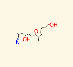 C=C1C[C@H](CCCO)O[C@H]1CC[C@@H](O)CC(C)C#N